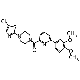 COc1ccc(-c2cccc(C(=O)N3CCN(c4ncc(Cl)s4)CC3)n2)cc1OC